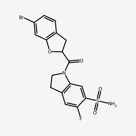 NS(=O)(=O)c1cc2c(cc1F)CCN2C(=O)C1Cc2ccc(Br)cc2O1